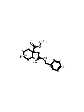 CCCCOC(=O)C1(NC(=O)OCc2ccccc2)CCNCC1